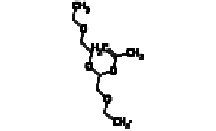 [CH2]COCC(OCCOCC)OC(=C)C